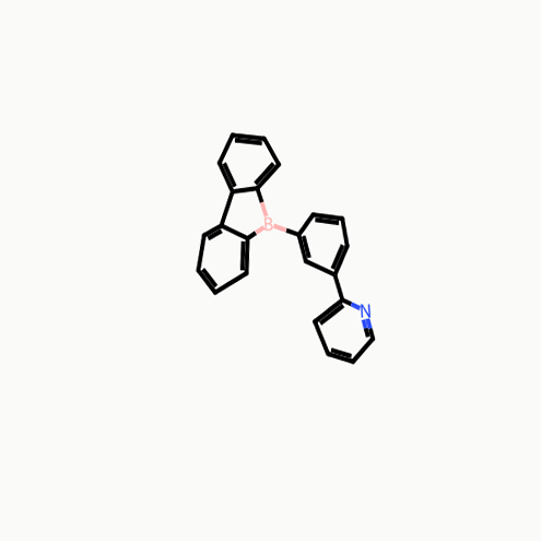 c1ccc(-c2cccc(B3c4ccccc4-c4ccccc43)c2)nc1